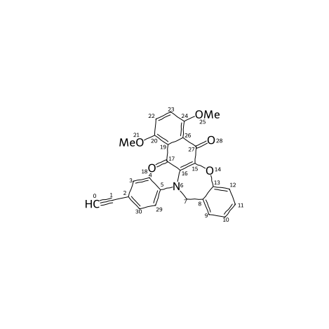 C#Cc1ccc(N2Cc3ccccc3OC3=C2C(=O)c2c(OC)ccc(OC)c2C3=O)cc1